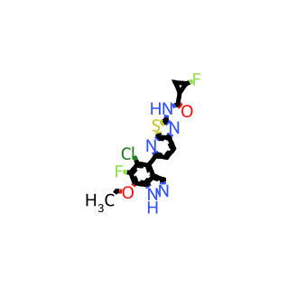 CCOc1c(F)c(Cl)c(-c2ccc3nc(NC(=O)C4CC4F)sc3n2)c2cn[nH]c12